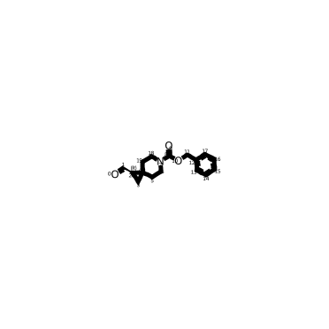 O=C[C@@H]1CC12CCN(C(=O)OCc1ccccc1)CC2